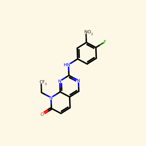 O=c1ccc2cnc(Nc3ccc(F)c([N+](=O)[O-])c3)nc2n1CC(F)(F)F